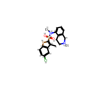 CCN1CCc2c(cccc2N(CC)S(=O)(=O)c2sc3ccc(Cl)cc3c2C)C1